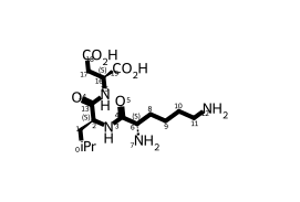 CC(C)C[C@H](NC(=O)[C@@H](N)CCCCN)C(=O)N[C@@H](CC(=O)O)C(=O)O